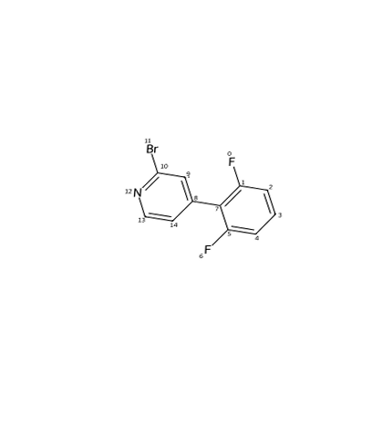 Fc1cccc(F)c1-c1[c]c(Br)ncc1